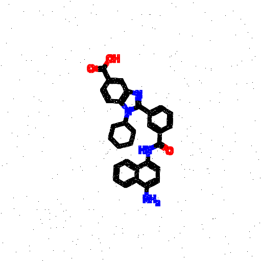 Nc1ccc(NC(=O)c2cccc(-c3nc4cc(C(=O)O)ccc4n3C3CCCCC3)c2)c2ccccc12